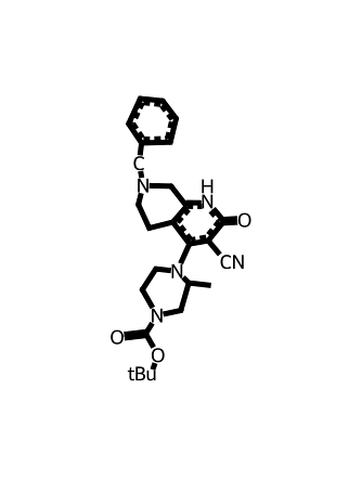 CC1CN(C(=O)OC(C)(C)C)CCN1c1c2c([nH]c(=O)c1C#N)CN(Cc1ccccc1)CC2